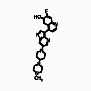 CN1CCN(C2CCN(c3cnc4c(-c5ccnc6cc(F)c(O)cc56)cnn4c3)CC2)CC1